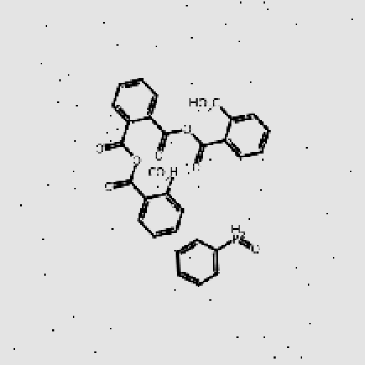 O=C(O)c1ccccc1C(=O)OC(=O)c1ccccc1C(=O)OC(=O)c1ccccc1C(=O)O.O=[PH2]c1ccccc1